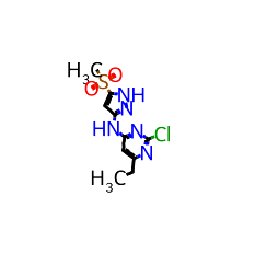 CCc1cc(Nc2cc(S(C)(=O)=O)[nH]n2)nc(Cl)n1